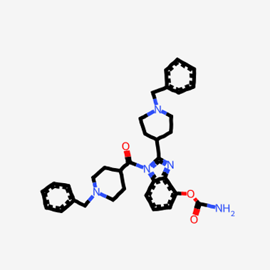 NC(=O)Oc1cccc2c1nc(C1CCN(Cc3ccccc3)CC1)n2C(=O)C1CCN(Cc2ccccc2)CC1